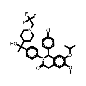 COc1cc2c(cc1OC(C)C)[C@H](c1ccc(Cl)cc1)N(c1ccc(C(C)(O)C3CCN(CC(F)(F)F)CC3)cc1)C(=O)C2